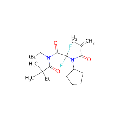 C=C(C)C(=O)N(C1CCCC1)C(F)(F)C(=O)N(CC(C)(C)C)C(=O)C(C)(C)CC